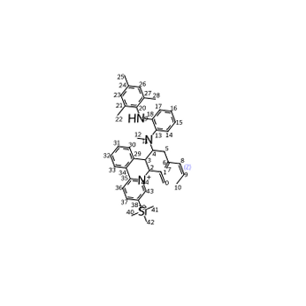 C=CC1C(C(CC(=C)/C=C\C)N(C)c2ccccc2Nc2c(C)cc(C)cc2C)c2ccccc2-c2ccc([Si](C)(C)C)c[n+]21